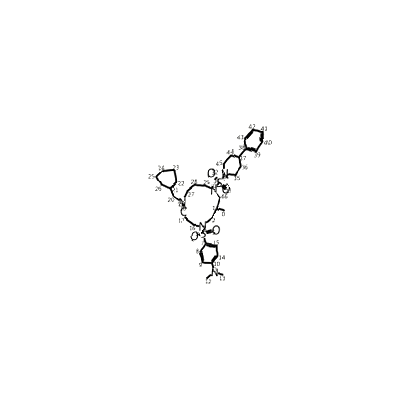 CC1CN(S(=O)(=O)c2ccc(N(C)C)cc2)CCCN(CC2CCCCC2)CCCN(S(=O)(=O)N2CCC(c3ccccc3)CC2)C1